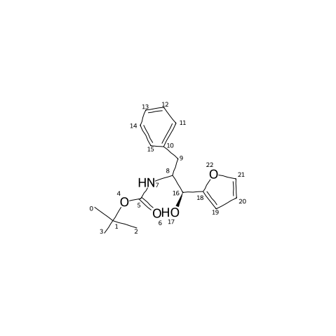 CC(C)(C)OC(=O)NC(Cc1ccccc1)[C@H](O)c1ccco1